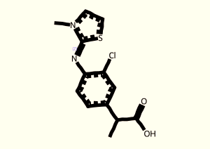 CC(C(=O)O)c1ccc(/N=c2\sccn2C)c(Cl)c1